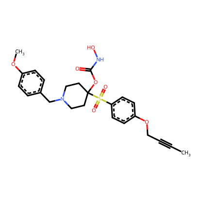 CC#CCOc1ccc(S(=O)(=O)C2(OC(=O)NO)CCN(Cc3ccc(OC)cc3)CC2)cc1